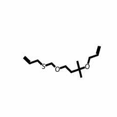 C=CCOC(C)(C)CCOCSCC=C